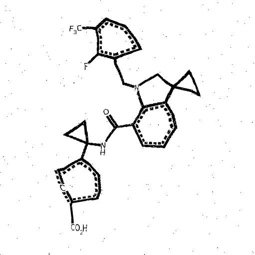 O=C(O)c1ccc(C2(NC(=O)c3cccc4c3N(Cc3cccc(C(F)(F)F)c3F)CC43CC3)CC2)cc1